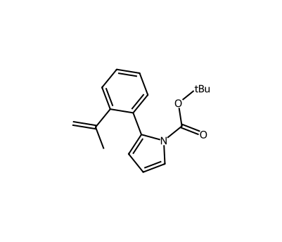 C=C(C)c1ccccc1-c1cccn1C(=O)OC(C)(C)C